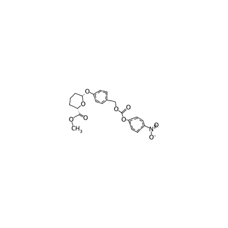 COC(=O)[C@@H]1CCC[C@H](Oc2ccc(COC(=O)Oc3ccc([N+](=O)[O-])cc3)cc2)O1